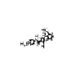 C#Cc1cccc(F)c1C(=O)c1c[nH]c(C(=O)NC2CCN(C)CC2)c1